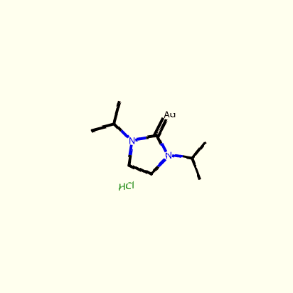 CC(C)N1CCN(C(C)C)[C]1=[Au].Cl